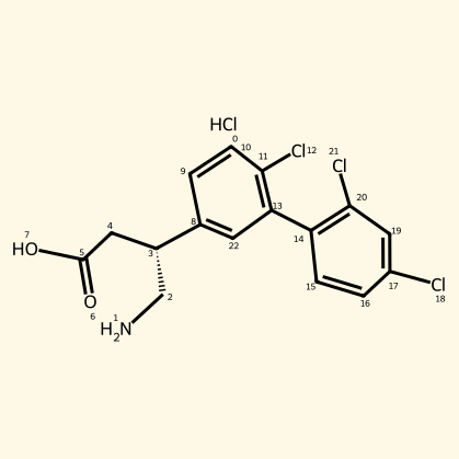 Cl.NC[C@H](CC(=O)O)c1ccc(Cl)c(-c2ccc(Cl)cc2Cl)c1